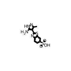 Cc1n[nH]c(N)c1-c1nc2ccc(S(=O)(=O)O)cc2s1